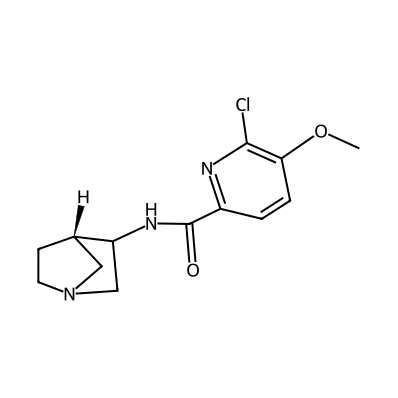 COc1ccc(C(=O)NC2CN3CC[C@H]2C3)nc1Cl